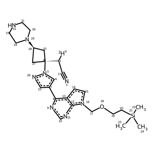 [2H]C(C#N)[C@]1(n2cc(-c3ncnc4c3ccn4COCC[Si](C)(C)C)cn2)C[C@@H](N2CCNCC2)C1